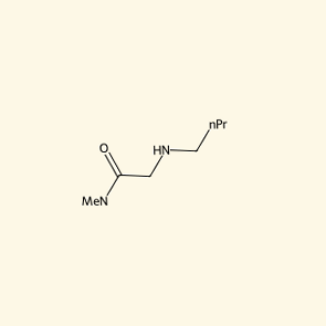 CCCCNCC(=O)NC